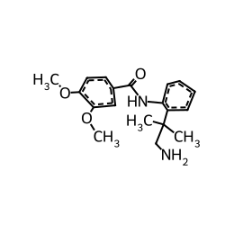 COc1ccc(C(=O)Nc2ccccc2C(C)(C)CN)cc1OC